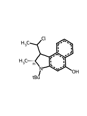 CC(Cl)C1c2c(cc(O)c3ccccc23)N(C(C)(C)C)[C@@H]1C